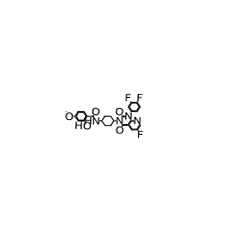 COc1ccc(C(=O)NC2CCC(n3c(=O)c4cc(F)cnc4n(-c4ccc(F)c(F)c4)c3=O)CC2)c(O)c1